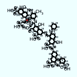 Cc1cc(N=Nc2c(S(=O)(=O)O)cc3c(S(=O)(=O)O)cc(N=Nc4c(Nc5ccccc5)ccc5c(O)c(/N=N/c6ccc7c(O)c(/N=N\c8ccccc8S(=O)(=O)O)c(S(=O)(=O)O)cc7c6)c(S(=O)(=O)O)cc45)cc3c2O)c(OCCCS(=O)(=O)O)cc1/N=N\c1cc(S(=O)(=O)O)cc2cc(S(=O)(=O)O)cc(O)c12